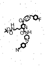 CC(C)(C)OC(=O)NCCCc1cc(C(=O)N2CCN(Cc3ccc(F)cc3)CC2)cnc1C(=O)NC1CCN(Cc2ccc(C#N)cc2)CC1